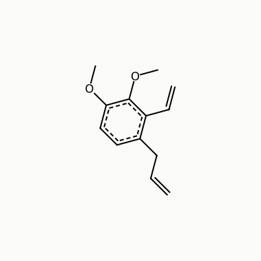 C=CCc1ccc(OC)c(OC)c1C=C